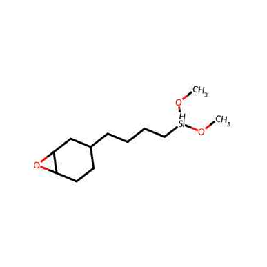 CO[SiH](CCCCC1CCC2OC2C1)OC